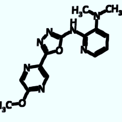 COc1cnc(-c2nnc(Nc3ncccc3N(C)C)o2)cn1